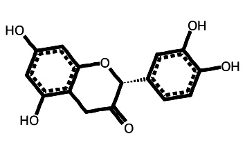 O=C1Cc2c(O)cc(O)cc2O[C@@H]1c1ccc(O)c(O)c1